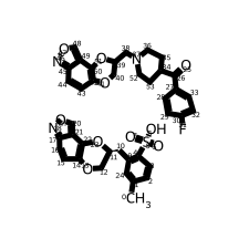 Cc1ccc(S(=O)(=O)O)c(C[C@@H]2COc3ccc4nocc4c3O2)c1.O=C(c1ccc(F)cc1)C1CCN(CC2COc3ccc4nocc4c3O2)CC1